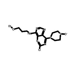 CCOCCCNc1ncnc2c(N3CC[S+]([O-])CC3)nc(Cl)nc12